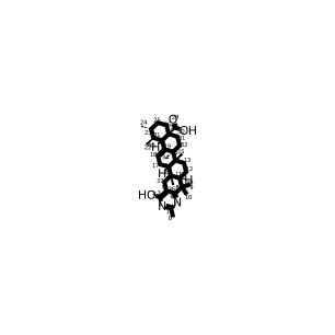 Cc1nc(O)c2c(n1)C(C)(C)[C@@H]1CC[C@]3(C)[C@H](CC=C4[C@@H]5[C@@H](C)[C@H](C)CC[C@]5(C(=O)O)CC[C@]43C)[C@@]1(C)C2